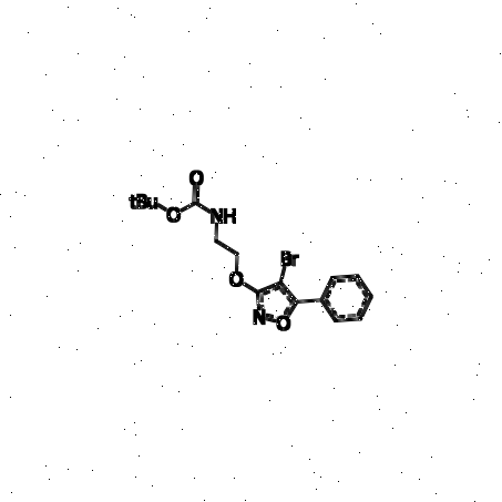 CC(C)(C)OC(=O)NCCOc1noc(-c2ccccc2)c1Br